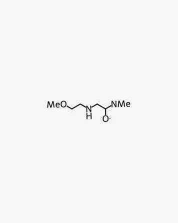 CNC([O])CNCCOC